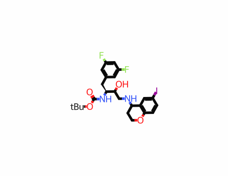 CC(C)(C)OC(=O)N[C@@H](Cc1cc(F)cc(F)c1)C(O)CNC1CCOc2ccc(I)cc21